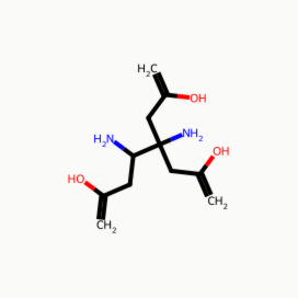 C=C(O)CC(N)C(N)(CC(=C)O)CC(=C)O